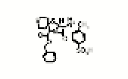 Cc1ccc(S(=O)(=O)O)cc1.NC1C(=O)N2C(C(=O)OCc3ccccc3)C3(CCSCC3)S[C@@H]12